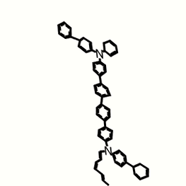 C/C=C/C=C\C=C\N(c1ccc(-c2ccc(-c3ccc(-c4ccc(N(C5=CCC(c6ccccc6)C=C5)C5C=CC=CC5)cc4)cc3)cc2)cc1)c1ccc(C2C=CC=CC2)cc1